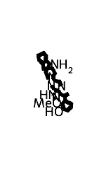 C=C(c1cccc(O)c1OC)c1n[nH]c2nc(N3CCC4(CC3)Cc3ccccc3[C@H]4N)cnc12